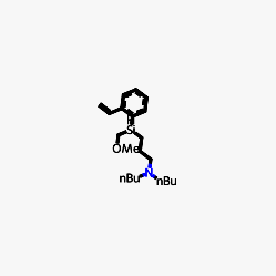 C=Cc1ccccc1[SiH](CCCN(CCCC)CCCC)COC